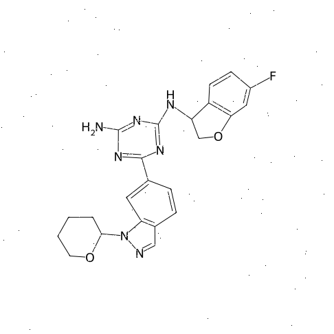 Nc1nc(NC2COc3cc(F)ccc32)nc(-c2ccc3cnn(C4CCCCO4)c3c2)n1